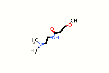 COCCC(=O)NCCN(C)C